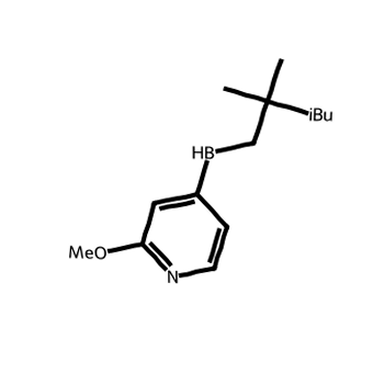 CCC(C)C(C)(C)CBc1ccnc(OC)c1